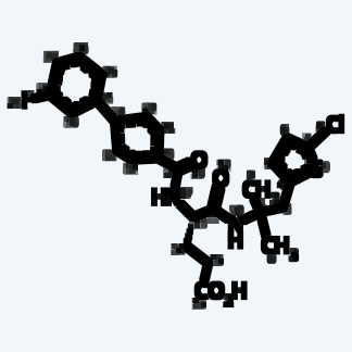 CC(C)(Cc1ccc(Cl)s1)NC(=O)[C@H](CCC(=O)O)NC(=O)c1ccc(-c2cccc(F)c2)cc1